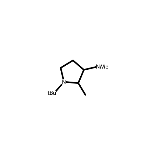 CNC1CCN(C(C)(C)C)C1C